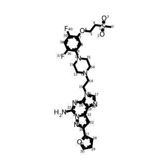 CS(=O)(=O)CCOc1cc(N2CCN(CCn3cnc4c3nc(N)n3nc(-c5ccco5)cc43)CC2)c(F)cc1F